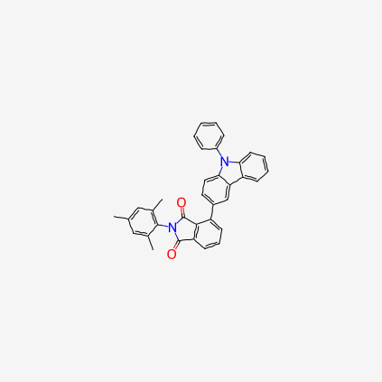 Cc1cc(C)c(N2C(=O)c3cccc(-c4ccc5c(c4)c4ccccc4n5-c4ccccc4)c3C2=O)c(C)c1